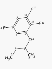 CCC(C)Oc1cc(F)[c]c(F)c1F